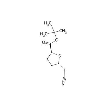 CC(C)(C)OC(=O)[C@@H]1CC[C@@H](CC#N)S1